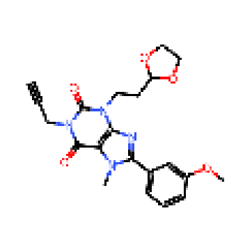 C#CCn1c(=O)c2c(nc(-c3cccc(OC)c3)n2C)n(CCC2OCCO2)c1=O